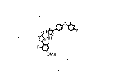 COc1cc(F)c(C2CNC(=O)[C@@H]2Nc2nnc(-c3ccc(Oc4ccc(F)cn4)cc3)o2)c(F)c1